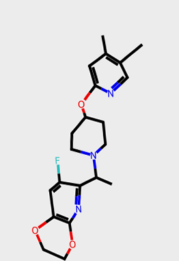 Cc1cnc(OC2CCN(C(C)c3nc4c(cc3F)OCCO4)CC2)cc1C